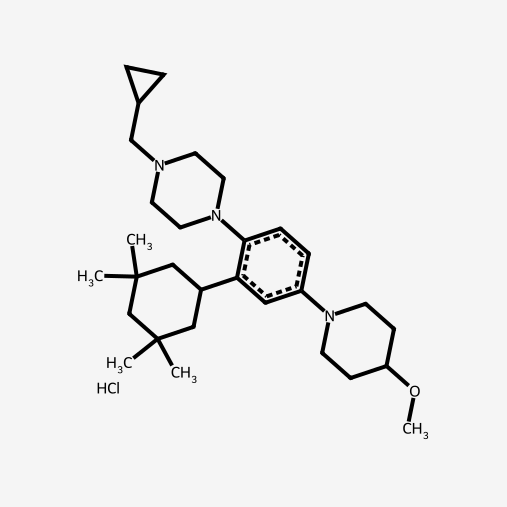 COC1CCN(c2ccc(N3CCN(CC4CC4)CC3)c(C3CC(C)(C)CC(C)(C)C3)c2)CC1.Cl